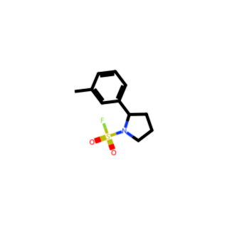 Cc1cccc(C2CCCN2S(=O)(=O)F)c1